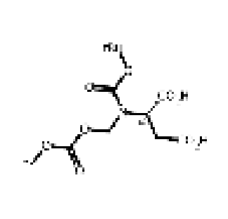 CC(C)OC(=O)OCN(C(=O)OC(C)(C)C)[C@@H](CC(=O)O)C(=O)O